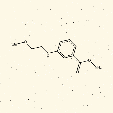 CC(C)(C)OCCNc1cccc(C(=O)ON)c1